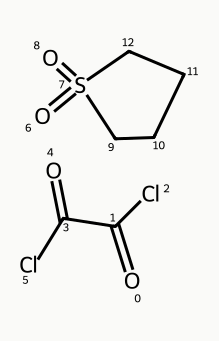 O=C(Cl)C(=O)Cl.O=S1(=O)CCCC1